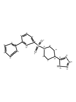 O=S(=O)(c1cccc(-c2ccccc2)n1)N1CCC(c2nnn[nH]2)CC1